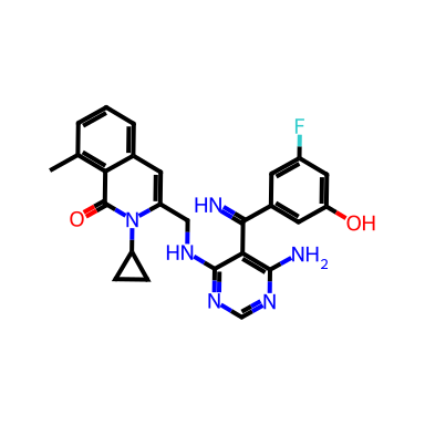 Cc1cccc2cc(CNc3ncnc(N)c3C(=N)c3cc(O)cc(F)c3)n(C3CC3)c(=O)c12